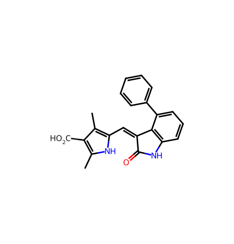 Cc1[nH]c(C=C2C(=O)Nc3cccc(-c4ccccc4)c32)c(C)c1C(=O)O